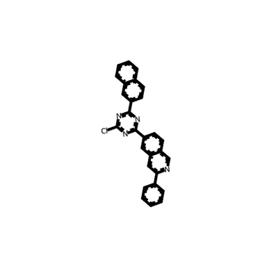 Clc1nc(-c2ccc3ccccc3c2)nc(-c2ccc3cnc(-c4ccccc4)cc3c2)n1